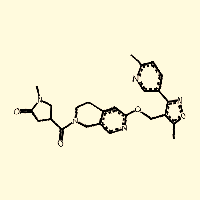 Cc1ccc(-c2noc(C)c2COc2cc3c(cn2)CN(C(=O)C2CC(=O)N(C)C2)CC3)cn1